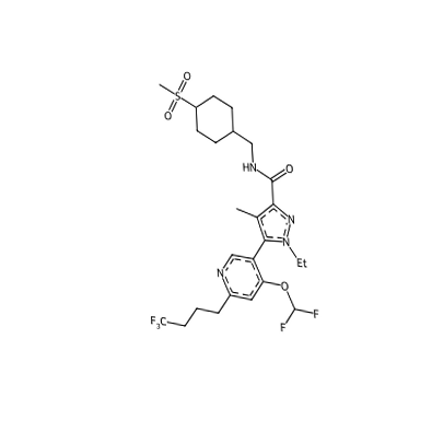 CCn1nc(C(=O)NCC2CCC(S(C)(=O)=O)CC2)c(C)c1-c1cnc(CCCC(F)(F)F)cc1OC(F)F